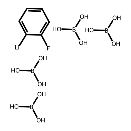 OB(O)O.OB(O)O.OB(O)O.OB(O)O.[Li][c]1ccccc1F